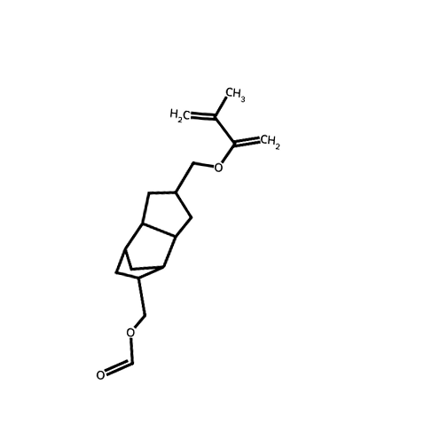 C=C(C)C(=C)OCC1CC2C3CC(COC=O)C(C3)C2C1